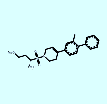 COCC[C@@H](C(=O)O)S(=O)(=O)N1CC=C(c2ccc(-c3ccccc3)c(C)c2)CC1